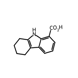 O=C(O)c1cccc2c3c([nH]c12)CCCC3